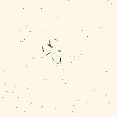 CCCC1=C(CCC)[N+](C(=O)n2ccnc2)(c2ccccc2)C=N1